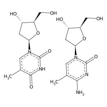 Cc1cn([C@H]2C[C@H](O)[C@@H](CO)O2)c(=O)[nH]c1=O.Cc1cn([C@H]2C[C@H](O)[C@@H](CO)O2)c(=O)nc1N